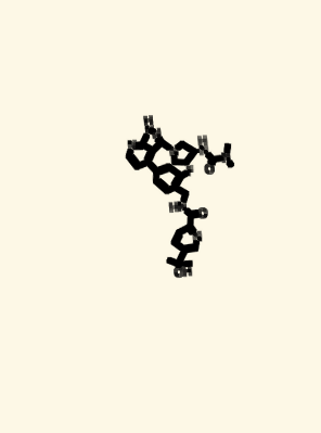 CN(C)C(=O)N[C@@H]1CCN(c2n[nH]c3nccc(-c4ccc(CNC(=O)c5ccc(C(C)(C)O)cn5)c(F)c4)c23)C1